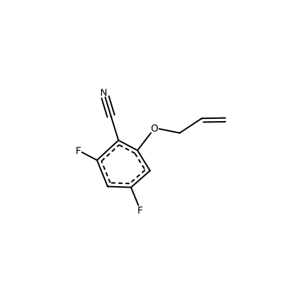 C=CCOc1cc(F)cc(F)c1C#N